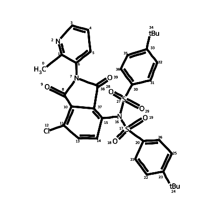 Cc1ncccc1N1C(=O)c2c(Cl)ccc(N(S(=O)(=O)c3ccc(C(C)(C)C)cc3)S(=O)(=O)c3ccc(C(C)(C)C)cc3)c2C1=O